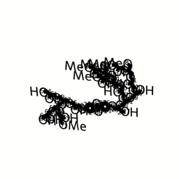 COCC(O)COC(COC)COCC(O)COC(CO)COCC(COC(CO)COc1ccc(S(=O)(=O)c2ccc(OCC(O)COCC(COCC(O)CO)OCC(COCC(O)CO)OCC(O)COC)cc2)cc1)OCC(O)COCC(COCC(COC)OCC(O)COC)OCC(O)COC